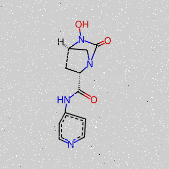 O=C(Nc1ccncc1)[C@@H]1C[C@@H]2CN1C(=O)N2O